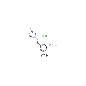 CN1C=CN(CCc2cc(C(=O)O)cc(C(=O)O)c2)C1.Cl